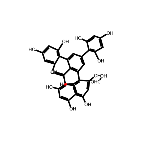 O=C(c1ccc(O)cc1O)c1c(-c2c(O)cc(O)cc2O)cc(-c2c(O)cc(O)cc2O)cc1-c1c(O)cc(O)cc1O.O=CO